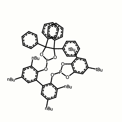 CCCCc1cc(CCCC)c(OP2Oc3cc(C(C)(C)C)cc(C(C)(C)C)c3O2)c(-c2cc(CCCC)cc(CCCC)c2OP2OC(c3ccccc3)(c3ccccc3)C(c3ccccc3)(c3ccccc3)O2)c1